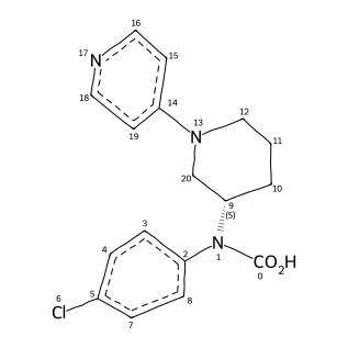 O=C(O)N(c1ccc(Cl)cc1)[C@H]1CCCN(c2ccncc2)C1